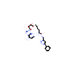 CC[C@@H](CC[C@H](N)C(=O)NCc1cc(-c2ccccc2)[nH]n1)C[C@H]1O[C@@H](n2cnc3c(N)ccnc32)[C@@H](O)C1O